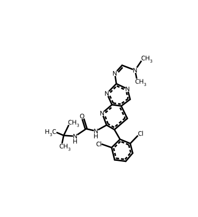 CN(C)/C=N\c1ncc2cc(-c3c(Cl)cccc3Cl)c(NC(=O)NC(C)(C)C)nc2n1